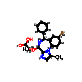 CC(=O)O.Cc1cnc2n1-c1ccc(Br)cc1C(c1ccccc1)=NC2O